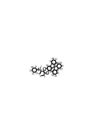 C=CC1=C(C(=C)N(C)c2ccccc2)Oc2cc3c(cc2O1)C1(c2ccccc2-c2ccccc21)c1ccccc1-3